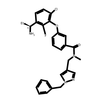 CC[C@H](N)c1ccc(Cl)c(Oc2cccc(C(=O)N(C)Cc3cnn(Cc4ccccc4)c3)c2)c1F